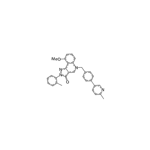 COc1cccc2c1c1nn(-c3ccccc3C)c(=O)c-1cn2Cc1ccc(-c2ccc(C)nc2)cc1